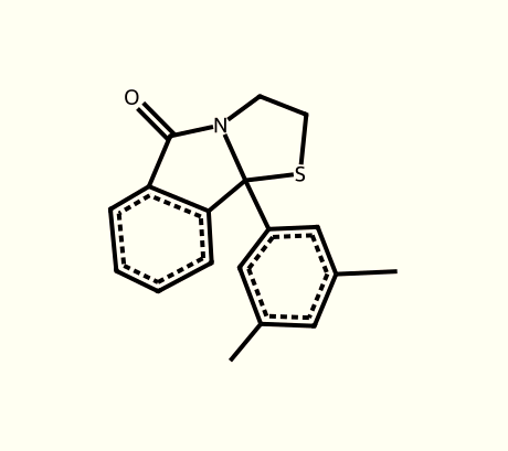 Cc1cc(C)cc(C23SCCN2C(=O)c2ccccc23)c1